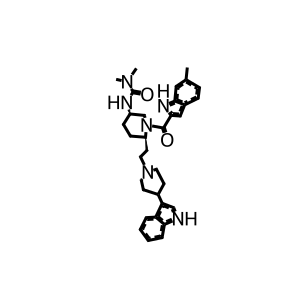 Cc1ccc2cc(C(=O)N3C[C@H](NC(=O)N(C)C)CC[C@@H]3CCN3CCC(c4c[nH]c5ccccc45)CC3)[nH]c2c1